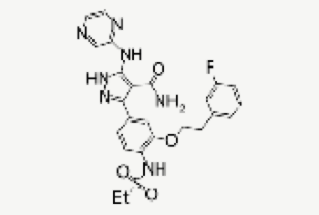 CCS(=O)(=O)Nc1ccc(-c2n[nH]c(Nc3cnccn3)c2C(N)=O)cc1OCCc1cccc(F)c1